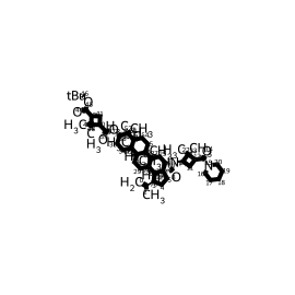 C=C(C)[C@@H]1CC[C@]2(C(=O)N[C@@H]3CC(C(=O)N4CCCCC4)C3(C)C)CC[C@]3(C)[C@H](CC[C@@H]4[C@@]5(C)CC[C@H](OC(=O)C6CC(C(=O)OC(C)(C)C)C6(C)C)C(C)(C)[C@@H]5CC[C@]43C)[C@@H]12